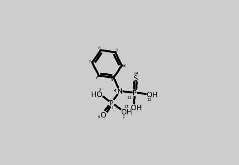 O=P(O)(O)N(c1ccccc1)P(O)(O)=S